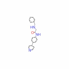 O=C(CNCc1ccccc1)Nc1ccc(-c2ccncc2)cc1